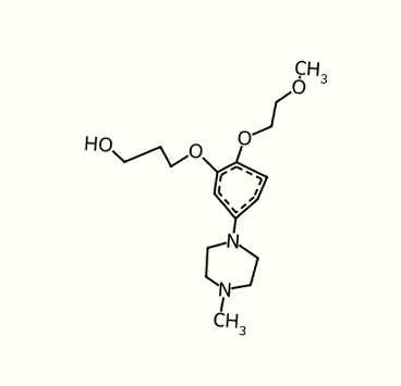 COCCOc1ccc(N2CCN(C)CC2)cc1OCCCO